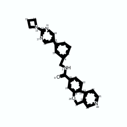 O=C(NCc1cccc(-c2cnc(N3CCC3)nc2)c1)c1ccc2c(c1)OCc1cnccc1-2